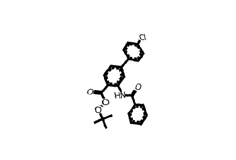 CC(C)(C)OOC(=O)c1ccc(-c2ccc(Cl)cc2)cc1NC(=O)c1ccccc1